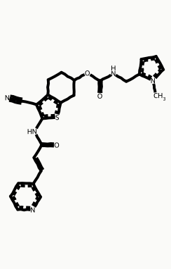 Cn1cccc1CNC(=O)OC1CCc2c(sc(NC(=O)C=Cc3cccnc3)c2C#N)C1